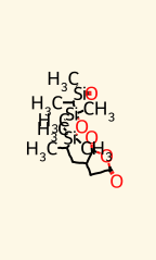 CC(CC1CC(=O)OC1=O)[Si](C)(C)O[Si](C)(C)C(C)[Si](C)=O